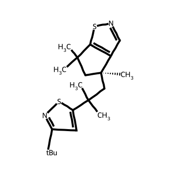 CC(C)(C)c1cc(C(C)(C)C[C@@]2(C)CC(C)(C)c3sncc32)sn1